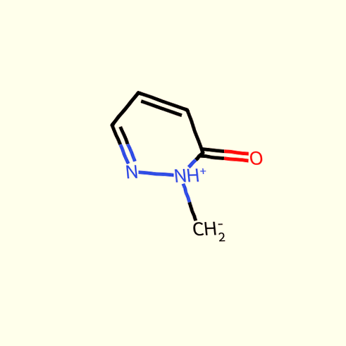 [CH2-][NH+]1N=CC=CC1=O